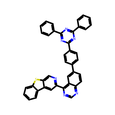 c1ccc(-c2nc(-c3ccccc3)nc(-c3ccc(-c4ccc5ncnc(-c6cc7c(cn6)sc6ccccc67)c5c4)cc3)n2)cc1